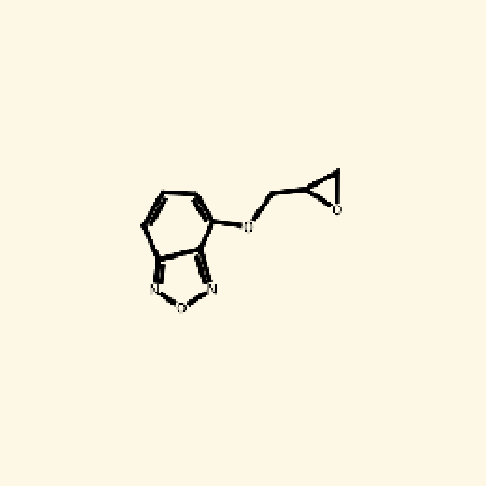 c1cc(OCC2CO2)c2nonc2c1